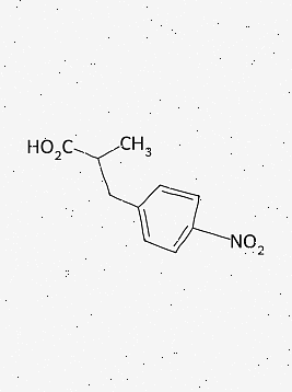 CC(Cc1ccc([N+](=O)[O-])cc1)C(=O)O